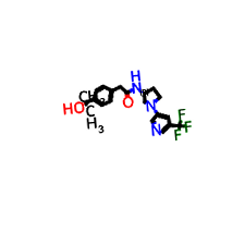 CC(C)(O)c1ccc(CC(=O)N[C@@H]2CCN(c3cncc(C(F)(F)F)c3)C2)cc1